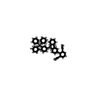 N#Cc1cccc(C#N)c1-c1ccc2c(c1)c1ccccc1n2-c1ccc2c(c1)[Si](c1ccccc1)(c1ccccc1)c1ccccc1-2